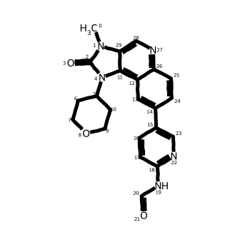 Cn1c(=O)n(C2CCOCC2)c2c3cc(-c4ccc(NC=O)nc4)ccc3ncc21